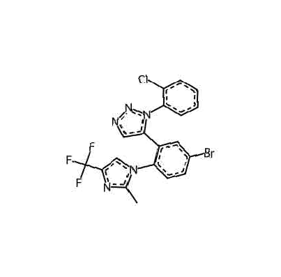 Cc1nc(C(F)(F)F)cn1-c1ccc(Br)cc1-c1cnnn1-c1ccccc1Cl